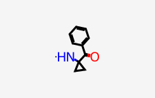 [NH]C1(C(=O)c2ccccc2)CC1